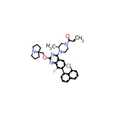 C=CC(=O)N1CCN(c2nc(OCC34CCCN3CCC4)nc3c(F)c(-c4cccc5cccc(Cl)c45)ccc23)[C@@H](C)C1